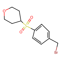 O=S(=O)(c1ccc(CBr)cc1)C1CCOCC1